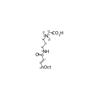 CCCCCCCCC=CC(=O)NCCC[N+](C)(C)CC(=O)O